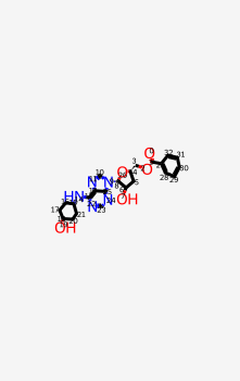 O=C(OC[C@@H]1CC(O)[C@H](n2cnc3c(NC4CCC(O)CC4)ncnc32)O1)c1ccccc1